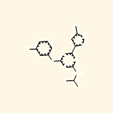 Cc1cc(-c2nc(Nc3cccc(F)c3)nc(NC(C)C)n2)no1